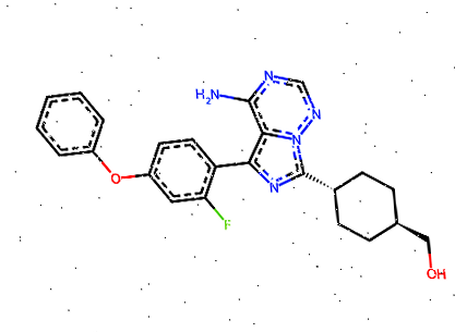 Nc1ncnn2c1c(-c1ccc(Oc3ccccc3)cc1F)nc2[C@H]1CC[C@H](CO)CC1